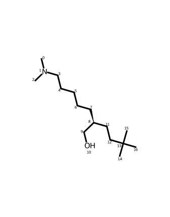 CN(C)CCCCC[C@H](CO)CCC(C)(C)C